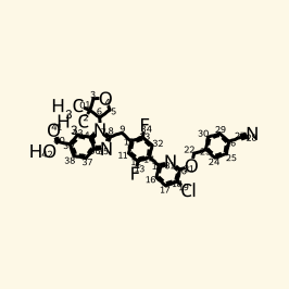 CC1(C)COCC1n1c(Cc2cc(F)c(-c3ccc(Cl)c(OCc4ccc(C#N)cc4)n3)cc2F)nc2ccc(C(=O)O)cc21